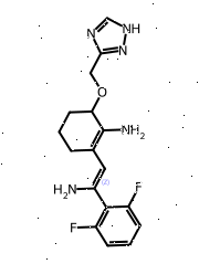 NC1=C(/C=C(\N)c2c(F)cccc2F)CCCC1OCc1nc[nH]n1